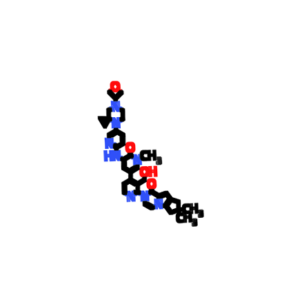 Cn1cc(-c2ccnc(-n3ccn4c5c(cc4c3=O)CC(C)(C)C5)c2CO)cc(Nc2ccc(N3CCN(C4COC4)CC34CC4)cn2)c1=O